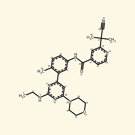 CCNc1nc(-c2cc(NC(=O)c3ccnc(C(C)(C)C#N)c3)ccc2C)cc(N2CCOCC2)n1